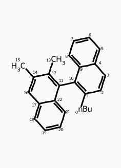 CCCCc1ccc2ccccc2c1-c1c(C)c(C)[c]c2ccccc12